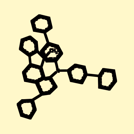 CC1(C)c2ccccc2-c2ccc3c(-c4ccccc4)ccc(N(c4ccc(-c5ccccc5)cc4)c4ccc(-c5ccccc5)cc4)c3c21